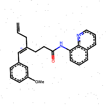 C=CC/C(=C/c1cccc(OC)c1)CCC(=O)Nc1cccc2cccnc12